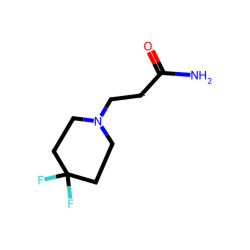 NC(=O)[CH]CN1CCC(F)(F)CC1